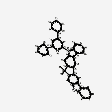 CC1(C)c2cc3sc4ccccc4c3cc2-c2cc3c4ccccc4n(-c4cc(-c5ccccc5)cc(-c5ccccc5)n4)c3cc21